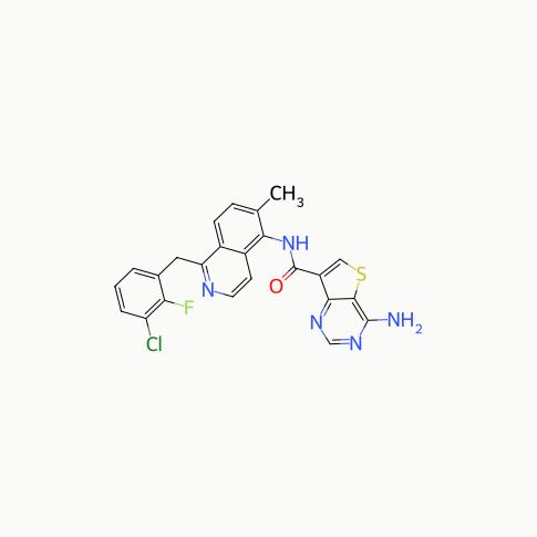 Cc1ccc2c(Cc3cccc(Cl)c3F)nccc2c1NC(=O)c1csc2c(N)ncnc12